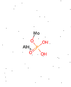 O=P(O)(O)[O][Mo].[AlH3]